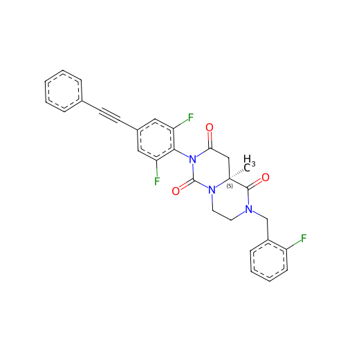 C[C@@]12CC(=O)N(c3c(F)cc(C#Cc4ccccc4)cc3F)C(=O)N1CCN(Cc1ccccc1F)C2=O